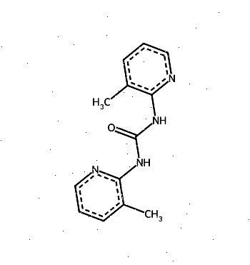 Cc1cccnc1NC(=O)Nc1ncccc1C